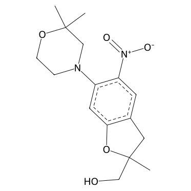 CC1(C)CN(c2cc3c(cc2[N+](=O)[O-])CC(C)(CO)O3)CCO1